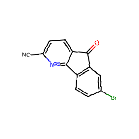 N#Cc1ccc2c(n1)-c1ccc(Br)cc1C2=O